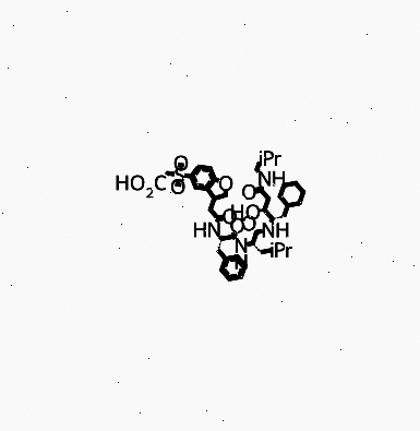 CC(C)CNC(=O)C[C@H](O)[C@H](CC1CCCCC1)NC(=O)[C@H](CC(C)C)NC(=O)[C@H](Cc1ccccc1)NC(=O)CC1COc2ccc(S(=O)(=O)CC(=O)O)cc21